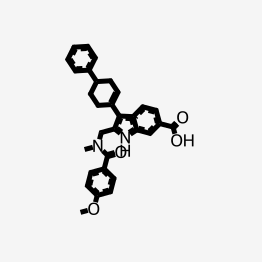 COc1ccc(C(=O)N(C)Cc2[nH]c3cc(C(=O)O)ccc3c2C2=CCC(c3ccccc3)CC2)cc1